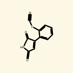 N#COc1ccccc1C1=CC(=O)NC1=O